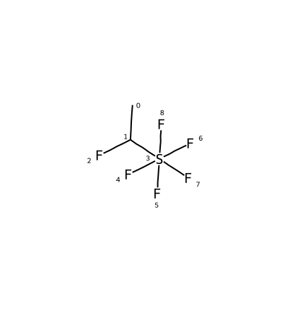 CC(F)S(F)(F)(F)(F)F